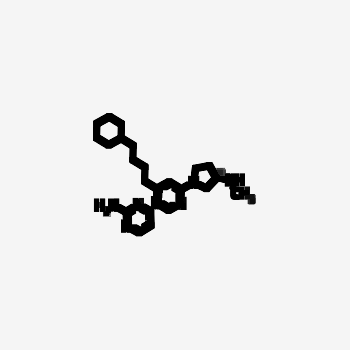 CN[C@@H]1CCN(c2cc(CCCCC3CCCCC3)ncn2)C1.Nc1ncccn1